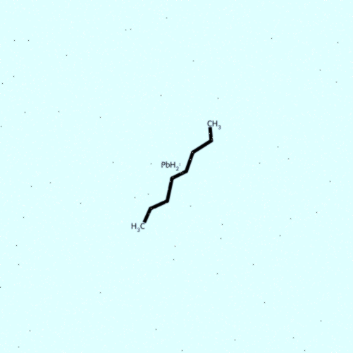 CCCCCCCC.[PbH2]